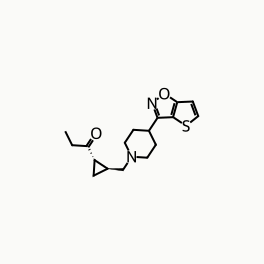 CCC(=O)[C@H]1C[C@@H]1CN1CCC(c2noc3ccsc23)CC1